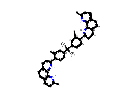 Cc1ccc2ccc3ccc(-c4ccc(C(c5ccc(-c6ccc7ccc8ccc(C)nc8c7n6)c(C)c5)(C(F)(F)F)C(F)(F)F)cc4C)nc3c2n1